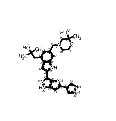 CC(C)(O)Cc1cc(CN2CCOC(C)(C)C2)cc2[nH]c(-c3n[nH]c4cc(-c5cn[nH]c5)sc34)cc12